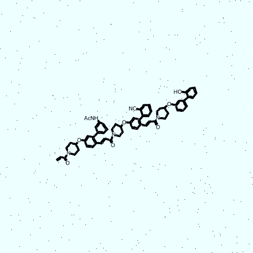 C=CC(=O)N1CCC(Oc2ccc(/C=C/C(=O)N3CCC(Oc4ccc(/C=C/C(=O)N5CCC(Oc6cccc(-c7ccccc7O)c6)CC5)c(-c5ccccc5C#N)c4)CC3)c(-c3cccc(NC(C)=O)c3)c2)CC1